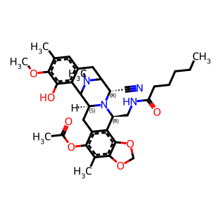 CCCCCC(=O)NC[C@H]1c2c(c(OC(C)=O)c(C)c3c2OCO3)C[C@H]2C3c4c(cc(C)c(OC)c4O)CC([C@H](C#N)N12)N3C